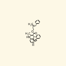 CC1=C(C(=O)OCCN(C)Cc2ccccc2)C(c2ccccc2C(F)(F)F)c2c(cc[nH]c2=O)N1